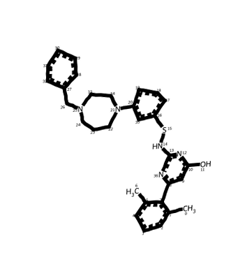 Cc1cccc(C)c1-c1cc(O)nc(NSc2cccc(N3CCCN(Cc4ccccc4)CC3)c2)n1